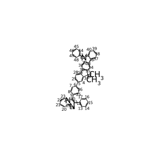 CC1(C)c2cc(-c3ccc(-c4c(-c5ccccc5)nc5ccccn45)cc3)ccc2-c2cc3c(cc21)c1ccccc1n3-c1ccccc1